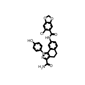 NC(=O)c1nn(-c2ccc(O)cc2)c2c1CCc1ccc(NC(=O)c3cc4c(cc3Cl)OCO4)cc1-2